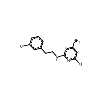 Nc1nc(Cl)nc(NCCc2cccc(Cl)c2)n1